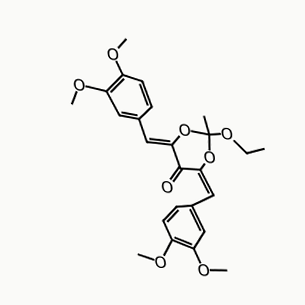 CCOC1(C)OC(=Cc2ccc(OC)c(OC)c2)C(=O)C(=Cc2ccc(OC)c(OC)c2)O1